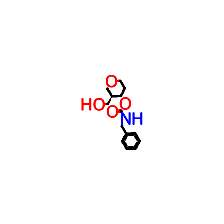 O=C(NCc1ccccc1)O[C@H]1CCOC[C@@H]1CO